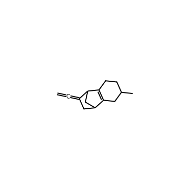 C=C=C1CC2CC1C1=C2CC(C)CC1